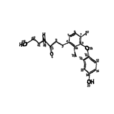 O=C(CCc1ccc(I)c(Oc2ccc(O)cc2)c1I)NCCO